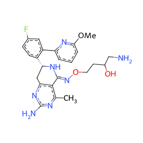 COc1cccc(-c2cc(F)ccc2[C@H]2Cc3nc(N)nc(C)c3/C(=N/OCCC(O)CN)N2)n1